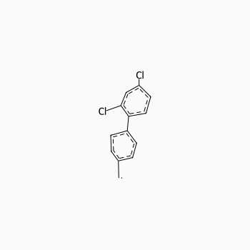 [CH2]c1ccc(-c2ccc(Cl)cc2Cl)cc1